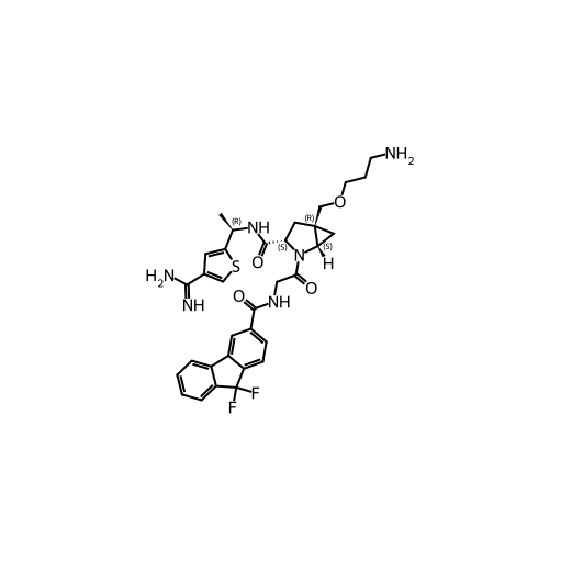 C[C@@H](NC(=O)[C@@H]1C[C@]2(COCCCN)C[C@@H]2N1C(=O)CNC(=O)c1ccc2c(c1)-c1ccccc1C2(F)F)c1cc(C(=N)N)cs1